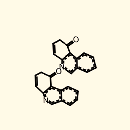 O=C1CC=Cc2ncc3ccccc3c21.O=C1CC=Cc2ncc3ccccc3c21